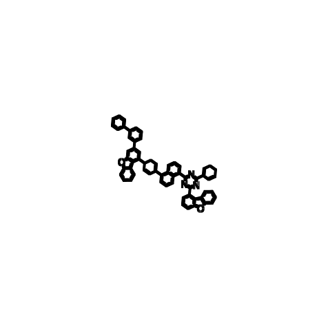 C1=CC(c2nc(-c3cccc4c(C5=CCC(c6cc(-c7cccc(-c8ccccc8)c7)cc7oc8ccccc8c67)C=C5)cccc34)nc(-c3cccc4oc5ccccc5c34)n2)=CCC1